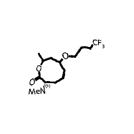 CN[C@H]1CCCC(OCCCC(F)(F)F)CC(C)OC1=O